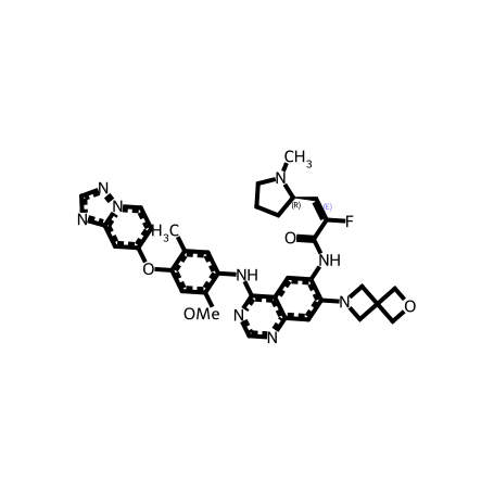 COc1cc(Oc2ccn3ncnc3c2)c(C)cc1Nc1ncnc2cc(N3CC4(COC4)C3)c(NC(=O)/C(F)=C\[C@H]3CCCN3C)cc12